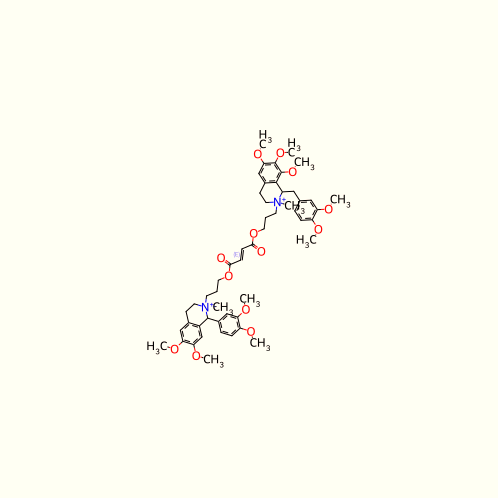 COc1ccc(CC2c3c(cc(OC)c(OC)c3OC)CC[N+]2(C)CCCOC(=O)/C=C/C(=O)OCCC[N+]2(C)CCc3cc(OC)c(OC)cc3C2c2ccc(OC)c(OC)c2)cc1OC